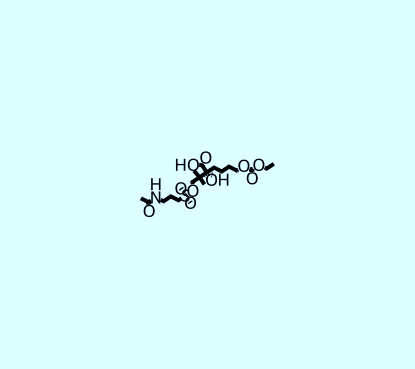 CCOC(=O)OCCCC[C@](O)(C(=O)O)C(C)(C)COS(=O)(=O)CCCNC(C)=O